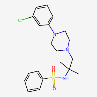 CC(C)(CN1CCN(c2cccc(Cl)c2)CC1)NS(=O)(=O)c1ccccc1